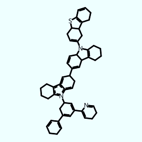 C1=CC(C2=CC(C3=CCCC=N3)=CC(n3c4c(c5c3=CCC(C3=CC6C7=C(CCCC7)N(C7=CCC8SC9=C(CCC=C9)C8C7)C6C=C3)C=5)CCCC4)C2)=CCC1